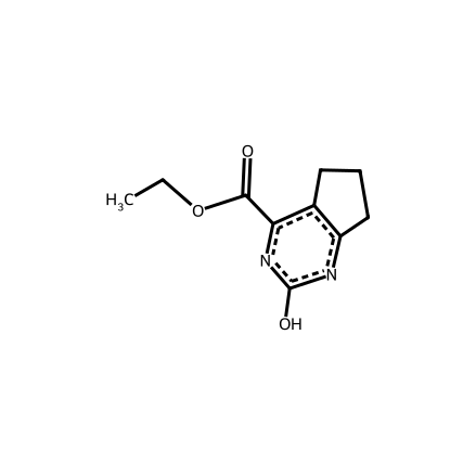 CCOC(=O)c1nc(O)nc2c1CCC2